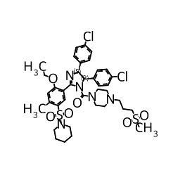 CCOc1cc(C)c(S(=O)(=O)N2CCCCC2)cc1C1=N[C@@H](c2ccc(Cl)cc2)[C@@H](c2ccc(Cl)cc2)N1C(=O)N1CCN(CCCS(C)(=O)=O)CC1